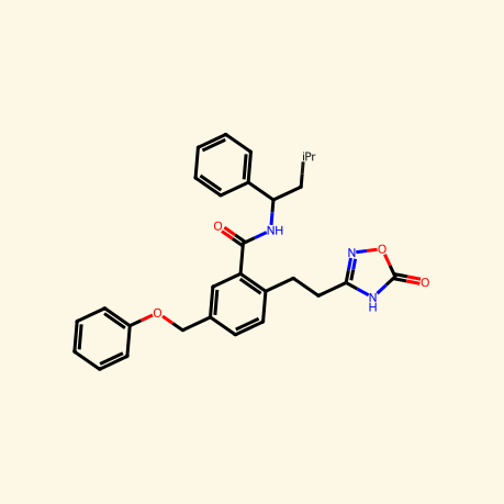 CC(C)CC(NC(=O)c1cc(COc2ccccc2)ccc1CCc1noc(=O)[nH]1)c1ccccc1